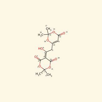 CC1(C)OC(=O)C(=C(O)CC2=CC(=O)OC(C)(C)O2)C(=O)O1